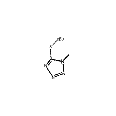 CCCCSc1nnnn1C